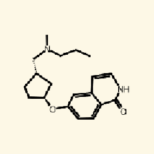 CCCN(C)C[C@H]1CC[C@H](Oc2ccc3c(=O)[nH]ccc3c2)C1